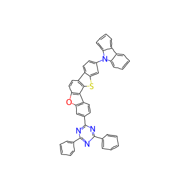 c1ccc(-c2nc(-c3ccccc3)nc(-c3ccc4c(c3)oc3ccc5c6ccc(-n7c8ccccc8c8ccccc87)cc6sc5c34)n2)cc1